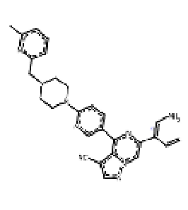 C=C/C(=C\N)c1cn2ncc(C#N)c2c(-c2ccc(N3CCN(Cc4cccc(C)n4)CC3)nc2)n1